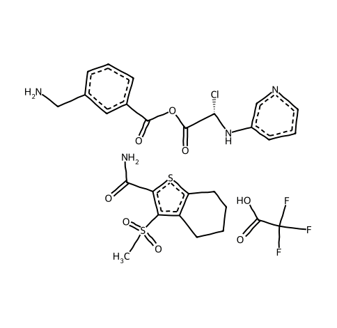 CS(=O)(=O)c1c(C(N)=O)sc2c1CCCC2.NCc1cccc(C(=O)OC(=O)[C@H](Cl)Nc2cccnc2)c1.O=C(O)C(F)(F)F